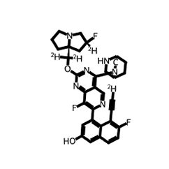 [2H]C#Cc1c(F)ccc2cc(O)cc(-c3ncc4c(N5CC6CCC5CN6)nc(OC([2H])([2H])[C@@]56CCCN5C[C@]([2H])(F)C6)nc4c3F)c12